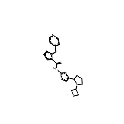 O=C(Nc1nc(C2CCCN2C2COC2)cs1)c1cccn1Cc1ccncc1